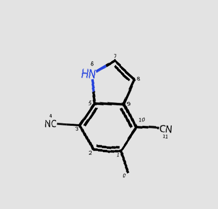 Cc1cc(C#N)c2[nH]ccc2c1C#N